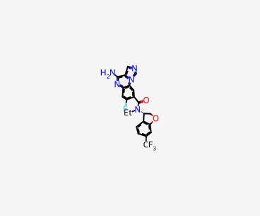 CCN(C(=O)c1cc2c(cc1F)nc(N)c1cncn12)[C@@H]1COc2cc(C(F)(F)F)ccc21